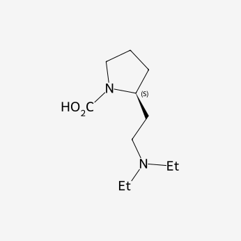 CCN(CC)CC[C@@H]1CCCN1C(=O)O